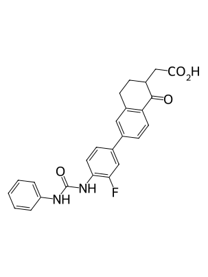 O=C(O)CC1CCc2cc(-c3ccc(NC(=O)Nc4ccccc4)c(F)c3)ccc2C1=O